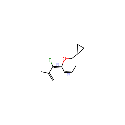 C=C(C)/C(F)=C(\C=C/C)OCC1CC1